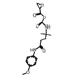 COc1ccc(NC(=O)CCC(C)(C)NC(=O)OC(=O)C2CO2)cc1